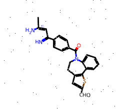 C/C(N)=C/C(=N)c1ccc(C(=O)N2CCc3cc(C=O)sc3-c3ccccc32)cc1